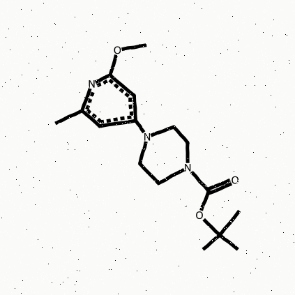 COc1cc(N2CCN(C(=O)OC(C)(C)C)CC2)cc(C)n1